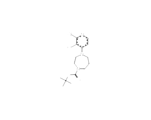 CC(C)(C)OC(=O)N1CCCN(c2ccnc(Cl)c2Cl)CC1